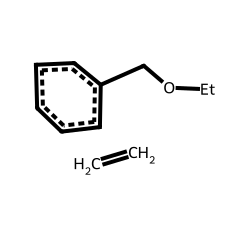 C=C.CCOCc1ccccc1